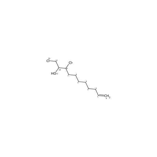 C=CCCCCCCC(Cl)C(O)CCl